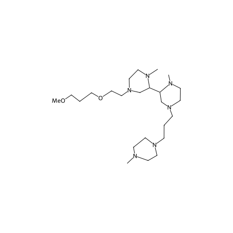 COCCCOCCN1CCN(C)C(C2CN(CCCN3CCN(C)CC3)CCN2C)C1